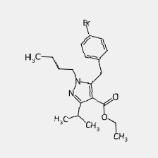 CCCCn1nc(C(C)C)c(C(=O)OCC)c1Cc1ccc(Br)cc1